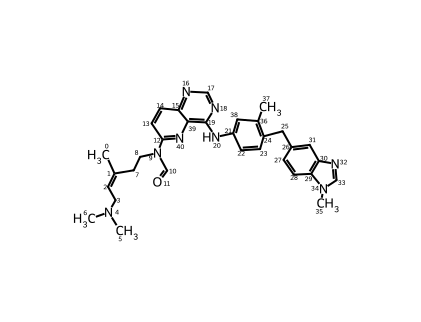 C/C(=C/CN(C)C)CCN(C=O)c1ccc2ncnc(Nc3ccc(Cc4ccc5c(c4)ncn5C)c(C)c3)c2n1